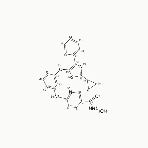 O=C(NO)c1ccc(Nc2cc(Oc3sc(C4CC4)nc3-c3ccccc3)ccn2)nc1